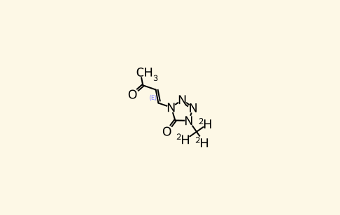 [2H]C([2H])([2H])n1nnn(/C=C/C(C)=O)c1=O